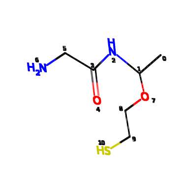 CC(NC(=O)CN)OCCS